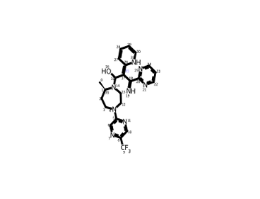 C[C@@H]1CCN(c2cnc(C(F)(F)F)cn2)CCN1C(O)/C(C(=N)c1ncccn1)=C1\C=CC=CN1